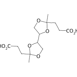 CC1(CCC(=O)O)OCC(C2COC(C)(CCC(=O)O)O2)O1